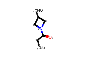 CC(C)(C)CC(=O)N1CC(C=O)C1